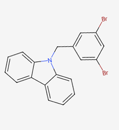 Brc1cc(Br)cc(Cn2c3ccccc3c3ccccc32)c1